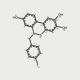 Oc1ccc2c(c1)N(Cc1ccc(F)cc1)Sc1cc(O)c(O)cc1-2